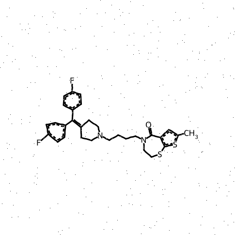 Cc1cc2c(s1)SCCN(CCCCN1CCC(=C(c3ccc(F)cc3)c3ccc(F)cc3)CC1)C2=O